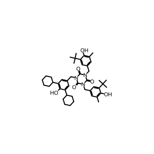 Cc1cc(Cn2c(=O)n(Cc3cc(C4CCCCC4)c(O)c(C4CCCCC4)c3)c(=O)n(Cc3cc(C)c(O)c(C(C)(C)C)c3)c2=O)cc(C(C)(C)C)c1O